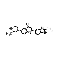 Cc1nc2cc(-c3cc(=O)n4cc(N5CCN[C@@H](C)C5)ccc4n3)ccc2[nH]1